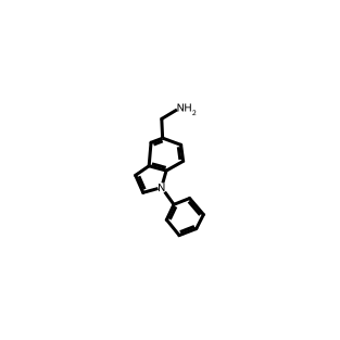 NCc1ccc2c(ccn2-c2ccccc2)c1